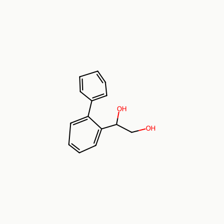 OCC(O)c1ccccc1-c1ccccc1